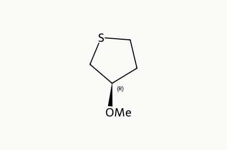 CO[C@@H]1CCSC1